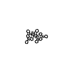 c1ccc(-n2c3ccccc3c3c2ccc2c4ccccc4n(-c4nc5c6c(nc(-n7c8ccccc8c8ccc9c(c%10ccccc%10n9-c9ccccc9)c87)nc6n4)-c4ccccc4-5)c23)cc1